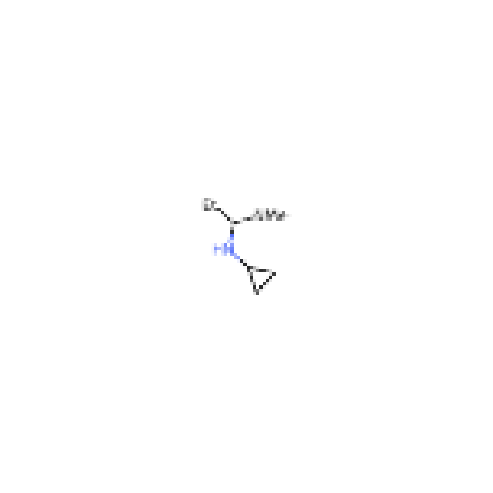 CCC([N]C)NC1CC1